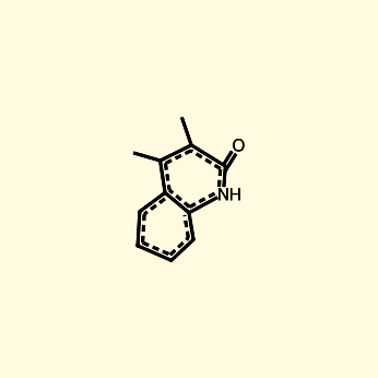 Cc1c(C)c2ccccc2[nH]c1=O